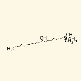 CCCCCCCCCCCC(O)CCCCCCCC[Si](C)(C)C